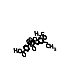 CCc1cc2cc(C(=O)N(O)c3ccc(C(=O)O)cc3)c(=O)oc2cc1OC